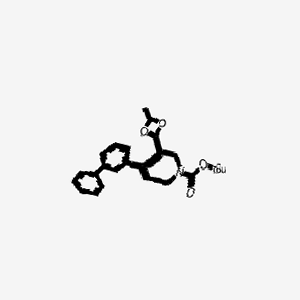 CC1OC(C2=C(c3cccc(-c4ccccc4)c3)CCN(C(=O)OC(C)(C)C)C2)O1